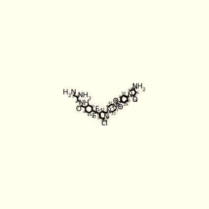 NCC(N)CNC(=O)C1CCC(C(F)(F)c2cc(Cl)nc(N3CCN(S(=O)(=O)c4ccc(N5C[C@H](N)CC5=O)cc4)CC3)c2)CC1